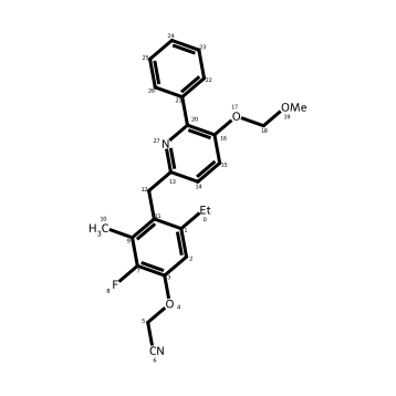 CCc1cc(OCC#N)c(F)c(C)c1Cc1ccc(OCOC)c(-c2ccccc2)n1